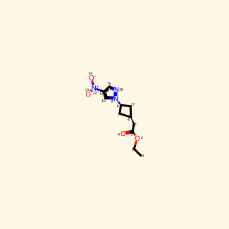 CCOC(=O)C[C@H]1C[C@@H](n2cc([N+](=O)[O-])cn2)C1